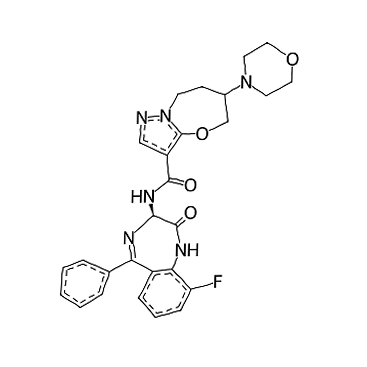 O=C(N[C@@H]1N=C(c2ccccc2)c2cccc(F)c2NC1=O)c1cnn2c1OCC(N1CCOCC1)CC2